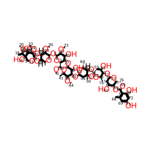 COC[C@H]1O[C@@H](O[C@@H]2OC[C@@H]3O[C@@]4(OC[C@@](O)(C(C)OC)[C@@H]5OCO[C@H]54)O[C@H]3[C@H]2OC)[C@@H](OC)[C@@H](O)[C@@H]1O[C@@H]1O[C@H](C)[C@H](OC)[C@H](O[C@H]2C[C@@]3(C)O[C@@]4(C[C@@H](O)[C@H](O[C@H]5C[C@@H](O)[C@H](OC(=O)c6c(C)cc(O)cc6O)[C@@H](C)O5)[C@@H](C)O4)O[C@@H]3[C@@H](C)O2)[C@H]1O